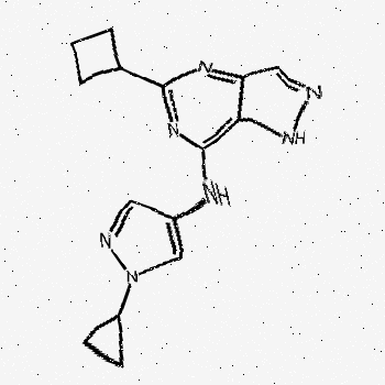 c1nn(C2CC2)cc1Nc1nc(C2CCC2)nc2cn[nH]c12